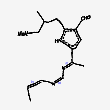 C\C=C/N=C\N=C(/C)c1cc(C=O)c(CC(C)CNC)[nH]1